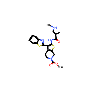 CCC(C)NCC(C)C(=O)Nc1sc2c(c1-c1nc3ccccc3s1)CCN(C(=O)OC(C)(C)C)C2